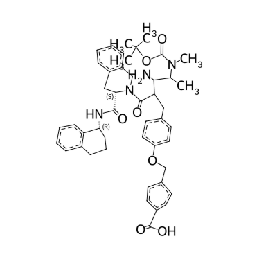 CC(C(N)C(Cc1ccc(OCc2ccc(C(=O)O)cc2)cc1)C(=O)N1Cc2ccccc2C[C@H]1C(=O)N[C@@H]1CCCc2ccccc21)N(C)C(=O)OC(C)(C)C